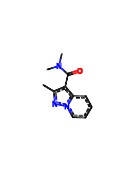 Cc1nn2ccccc2c1C(=O)N(C)C